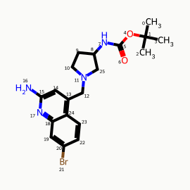 CC(C)(C)OC(=O)NC1CCN(Cc2cc(N)nc3cc(Br)ccc23)C1